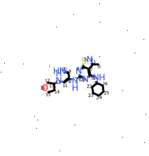 Cc1nsc2nc(N/C(C=N)=C/NC3CCOC3)nc(NC3CCCCC3)c12